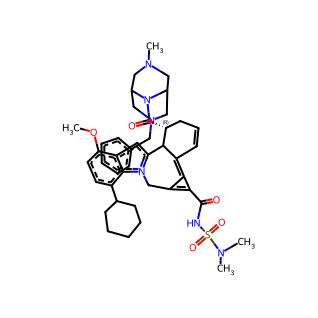 COc1ccc(C2CCCCC2)c2c1cc1n2CC2=C(C(=O)NS(=O)(=O)N(C)C)C2=C2C=CC[C@@H](C(=O)N3C4CN(C)CC3CN(Cc3ccccc3)C4)C21